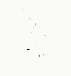 Cl.[N-]=[N+]=NCC[C@H](N)C(=O)O